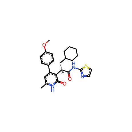 COc1ccc(-c2cc(C)[nH]c(=O)c2[C@H](CC2CCCCC2)C(=O)Nc2nccs2)cc1